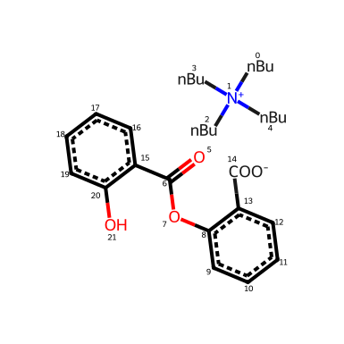 CCCC[N+](CCCC)(CCCC)CCCC.O=C(Oc1ccccc1C(=O)[O-])c1ccccc1O